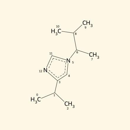 CC(C)c1cn(C(C)C(C)C)cn1